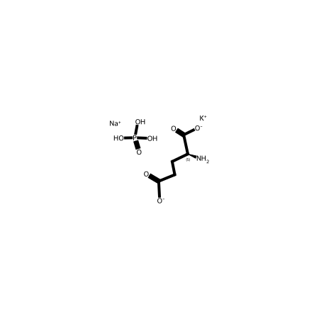 N[C@@H](CCC(=O)[O-])C(=O)[O-].O=P(O)(O)O.[K+].[Na+]